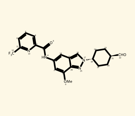 COc1cc(NC(=O)c2cccc(C(F)(F)F)n2)cc2cn([C@H]3CC[C@H](C=O)CC3)nc12